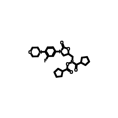 O=C(ON(CC1CN(c2ccc(N3CCOCC3)c(F)c2)C(=O)O1)C(=O)C1CCCC1)C1CCCC1